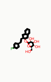 OC[C@H]1OC(Oc2cc3ccccc3cc2/C=C/c2ccc(F)cc2)[C@H](O)[C@@H](O)[C@@H]1O